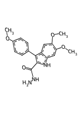 COc1ccc(-c2c(C(=O)NN)[nH]c3cc(OC)c(OC)cc23)cc1